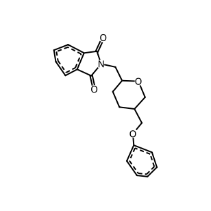 O=C1c2ccccc2C(=O)N1CC1CCC(COc2ccccc2)CO1